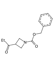 CCC(=O)C1CN(C(=O)OCc2ccccc2)C1